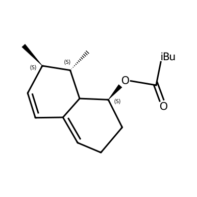 CCC(C)C(=O)O[C@H]1CCC=C2C=C[C@@H](C)[C@H](C)C21